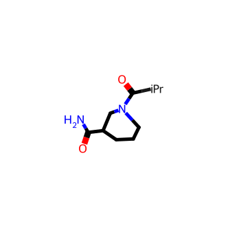 CC(C)C(=O)N1CCCC(C(N)=O)C1